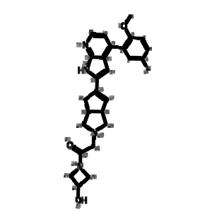 COc1ccc(F)cc1-c1ccnc2[nH]c(C3=CC4CN(CC(=O)N5CC(O)C5)CC4C3)cc12